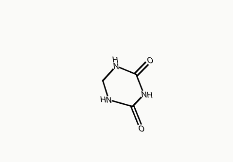 O=C1NCNC(=O)N1